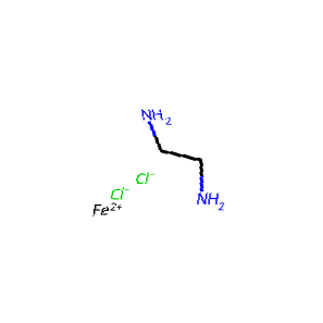 NCCN.[Cl-].[Cl-].[Fe+2]